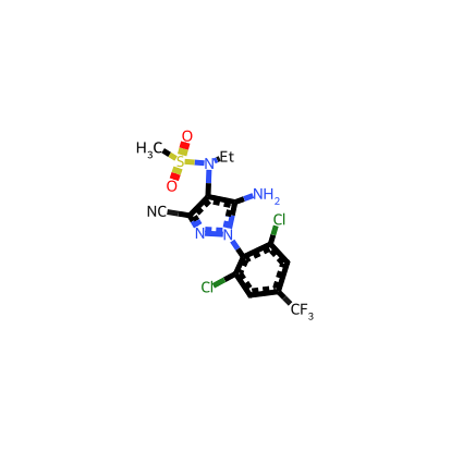 CCN(c1c(C#N)nn(-c2c(Cl)cc(C(F)(F)F)cc2Cl)c1N)S(C)(=O)=O